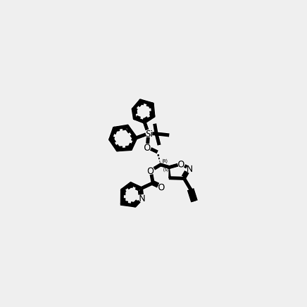 C#CC1=NO[C@H]([C@@H](CO[Si](c2ccccc2)(c2ccccc2)C(C)(C)C)OC(=O)c2ccccn2)C1